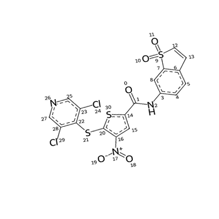 O=C(Nc1ccc2c(c1)S(=O)(=O)C=C2)c1cc([N+](=O)[O-])c(Sc2c(Cl)cncc2Cl)s1